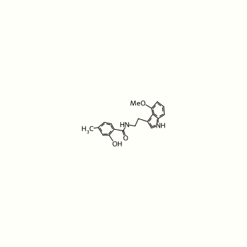 COc1cccc2[nH]cc(CCNC(=O)c3ccc(C)cc3O)c12